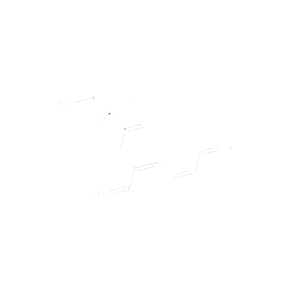 C=C/C=C\C=C(/C=C)OC(=O)C(C)(C)CC